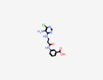 Nc1c(Cl)ncnc1NCCC(=O)Nc1cccc(C(=O)O)c1